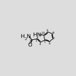 NC(=O)c1cc2cc[c]cc2[nH]1